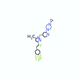 Cc1cc(C(F)=Cc2ccc(S(F)(F)(F)(F)F)cc2)nn1Cc1ccnc(N2CCN(C3CC3)CC2)c1